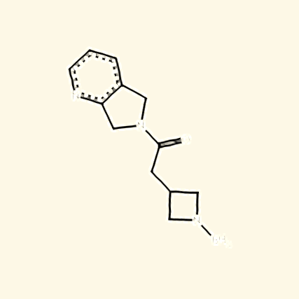 BN1CC(CC(=O)N2Cc3cccnc3C2)C1